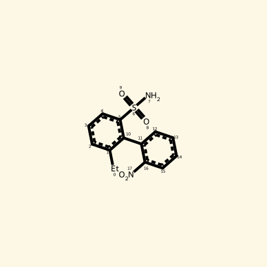 CCc1cccc(S(N)(=O)=O)c1-c1ccccc1[N+](=O)[O-]